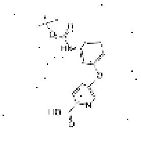 CC(C)(C)OC(=O)Nc1cccc(Oc2ccc(C(=O)O)nc2)c1